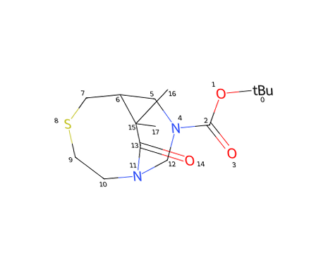 CC(C)(C)OC(=O)N1CC2CSCCN(C1)C(=O)C2(C)C